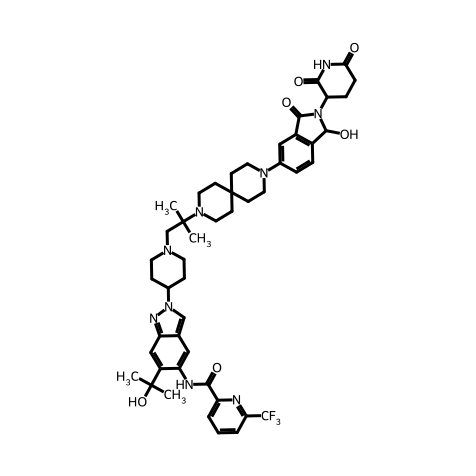 CC(C)(O)c1cc2nn(C3CCN(CC(C)(C)N4CCC5(CCN(c6ccc7c(c6)C(=O)N(C6CCC(=O)NC6=O)C7O)CC5)CC4)CC3)cc2cc1NC(=O)c1cccc(C(F)(F)F)n1